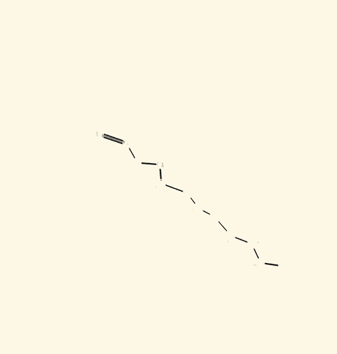 N=NONOOOOOOOO